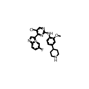 COc1cc(C2CCNCC2)ccc1Nc1ncc(Cl)c(-c2cnc3ccc(F)cn23)n1